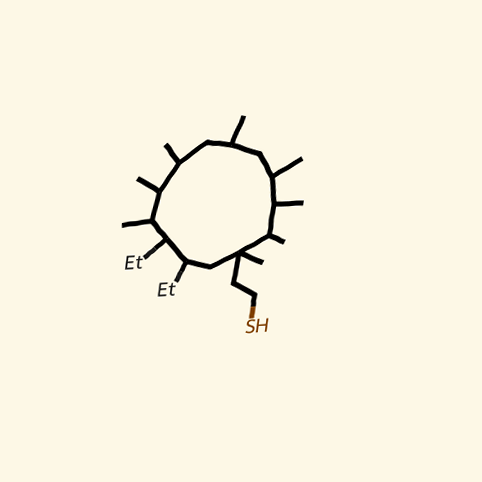 CCC1CC(C)(CCS)C(C)C(C)C(C)CC(C)CC(C)C(C)C(C)C1CC